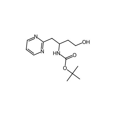 CC(C)(C)OC(=O)NC(CCO)Cc1ncccn1